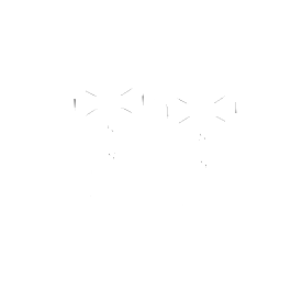 O.OC(CCl)CN1CCN(C(c2ccccc2)c2ccc(Cl)cc2)CC1.OC(CCl)CN1CCN(C(c2ccccc2)c2ccc(Cl)cc2)CC1